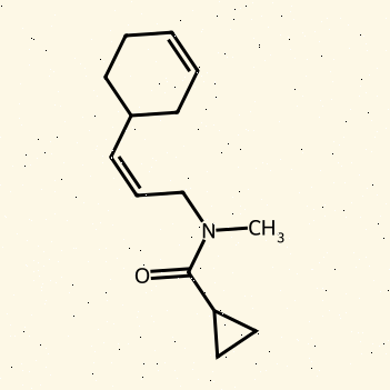 CN(C/C=C\C1CC=CCC1)C(=O)C1CC1